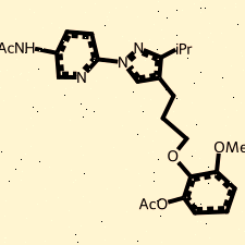 COc1cccc(OC(C)=O)c1OCCCc1cn(-c2ccc(NC(C)=O)cn2)nc1C(C)C